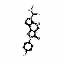 CCNC(=S)n1ncc2c3nn(-c4ccc(Cl)cc4)c(=O)c-3c[nH]c21